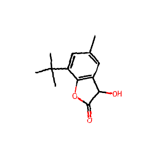 Cc1cc2c(c(C(C)(C)C)c1)OC(=O)C2O